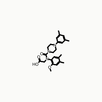 COc1cc(C)c(C)cc1N(CC(=O)O)C(=O)N1CCN(c2cc(C)cc(C)c2)CC1